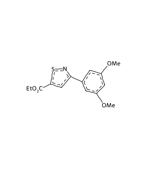 CCOC(=O)c1cc(-c2cc(OC)cc(OC)c2)ns1